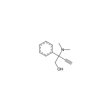 C#CC(CO)(c1ccccc1)N(C)C